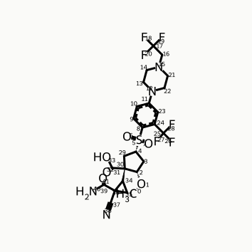 CO[C@H]1C[C@@H](S(=O)(=O)c2ccc(N3CCN(CC(F)(F)F)CC3)cc2C(F)(F)F)C[C@]1(C(=O)O)C1CC1(C#N)C(N)=O